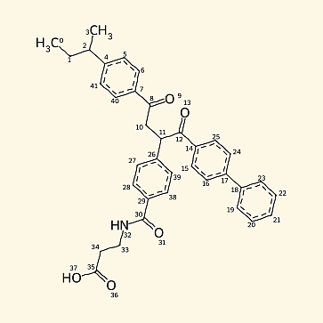 CCC(C)c1ccc(C(=O)CC(C(=O)c2ccc(-c3ccccc3)cc2)c2ccc(C(=O)NCCC(=O)O)cc2)cc1